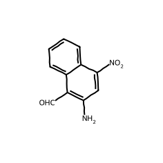 Nc1cc([N+](=O)[O-])c2ccccc2c1C=O